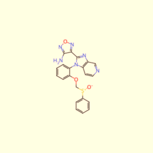 Nc1nonc1-c1nc2cnccc2n1-c1ccccc1OC[S+]([O-])c1ccccc1